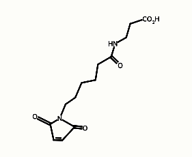 O=C(O)CCNC(=O)CCCCCN1C(=O)C=CC1=O